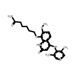 COc1ccc2c(Nc3c(C)cncc3C)cc(=O)[nH]c2c1OCCCCCC(N)=O